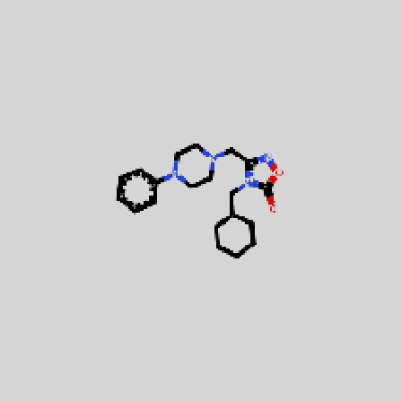 O=c1onc(CN2CCN(c3ccccc3)CC2)n1CC1CCCCC1